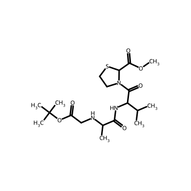 COC(=O)C1SCCN1C(=O)C(NC(=O)C(C)NCC(=O)OC(C)(C)C)C(C)C